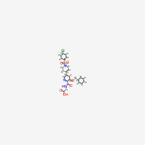 O=C(O)CNC(=O)c1ncc(C2=CCN(S(=O)(=O)c3ccc(Cl)cc3)CC2)cc1OCc1ccccc1